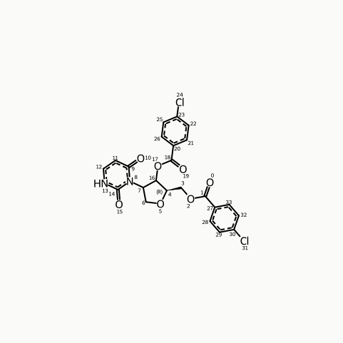 O=C(OC[C@H]1OCC(n2c(=O)cc[nH]c2=O)C1OC(=O)c1ccc(Cl)cc1)c1ccc(Cl)cc1